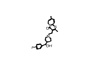 CC1=CCn2c(nc(C)c(CCN3CCC(C(O)c4ccc(F)cc4)CC3)c2=O)C=C1